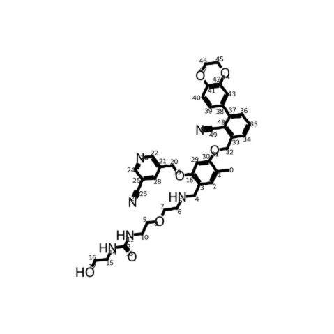 Cc1cc(CNCCOCCNC(=O)NCCO)c(OCc2cncc(C#N)c2)cc1OCc1cccc(-c2ccc3c(c2)OCCO3)c1C#N